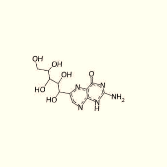 Nc1nc(=O)c2nc(C(O)C(O)C(O)C(O)CO)cnc2[nH]1